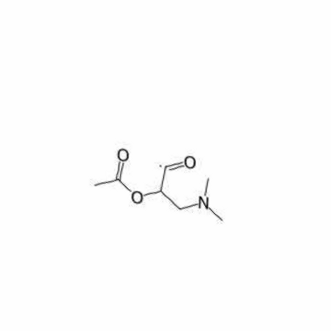 CC(=O)OC([C]=O)CN(C)C